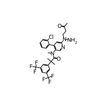 CC(=O)CCN(N)c1cc(-c2ccccc2Cl)c(N(C)C(=O)C(C)(C)c2cc(C(F)(F)F)cc(C(F)(F)F)c2)cn1